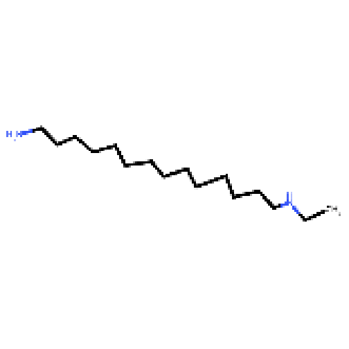 CCNCCCCCCCCCCCCCCN